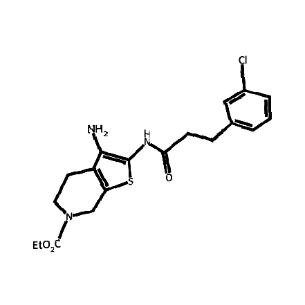 CCOC(=O)N1CCc2c(sc(NC(=O)CCc3cccc(Cl)c3)c2N)C1